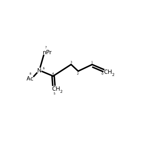 C=CCCC(=C)N(CCC)C(C)=O